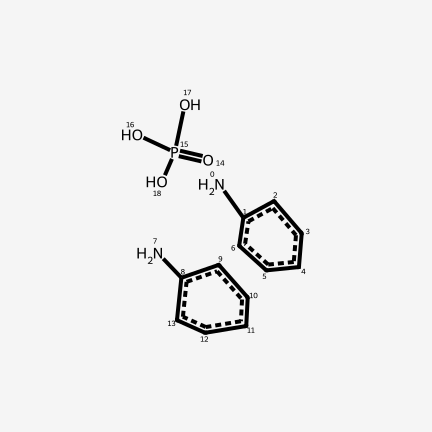 Nc1ccccc1.Nc1ccccc1.O=P(O)(O)O